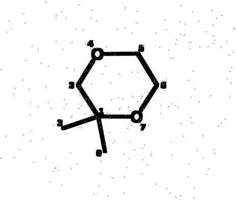 CC1(C)COCCO1